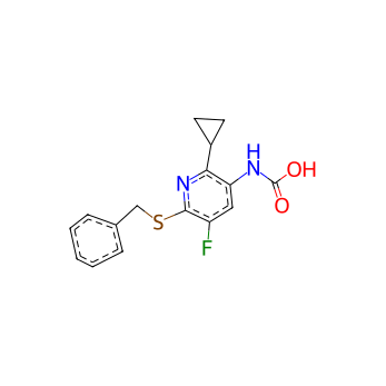 O=C(O)Nc1cc(F)c(SCc2ccccc2)nc1C1CC1